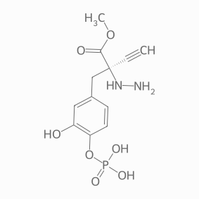 C#C[C@@](Cc1ccc(OP(=O)(O)O)c(O)c1)(NN)C(=O)OC